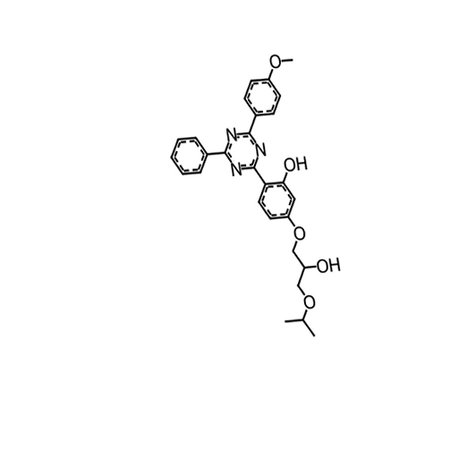 COc1ccc(-c2nc(-c3ccccc3)nc(-c3ccc(OCC(O)COC(C)C)cc3O)n2)cc1